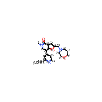 CC(=O)Nc1cc(-c2cn(C)c(=O)c3cc(CN4CCCOCC4)oc23)ccn1